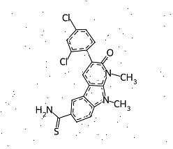 Cn1c(=O)c(-c2ccc(Cl)cc2Cl)cc2c3cc(C(N)=S)ccc3n(C)c21